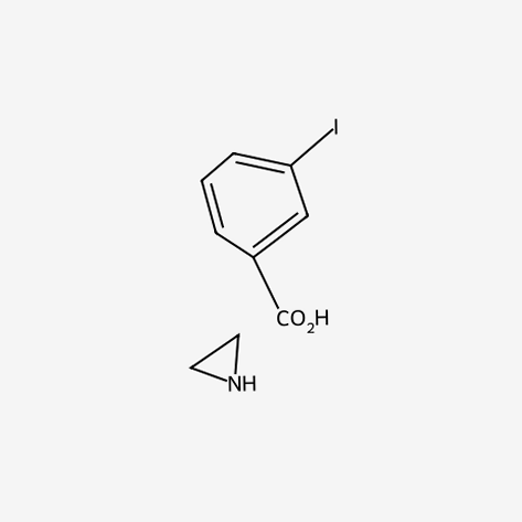 C1CN1.O=C(O)c1cccc(I)c1